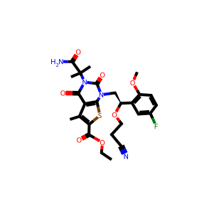 CCOC(=O)c1sc2c(c1C)c(=O)n(C(C)(C)C(N)=O)c(=O)n2C[C@H](OCCC#N)c1cc(F)ccc1OC